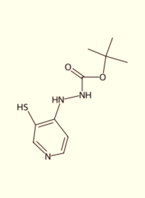 CC(C)(C)OC(=O)NNc1ccncc1S